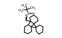 CC(C)(C)[S+]([O-])/N=C\C12CCCCC13C1(CCCCC1)C31CCCCC21